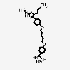 CCCCc1sc(NC)nc1-c1ccc(OCCCCCOc2ccc(C(=N)NO)cc2)cc1